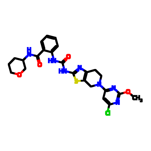 COc1nc(Cl)cc(N2CCc3nc(NC(=O)Nc4ccccc4C(=O)NC4CCCOC4)sc3C2)n1